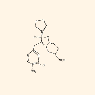 Nc1ccc(CC(=O)C(F)(OC2CCC(C(=O)O)CC2)N2CCCC2)cc1Cl